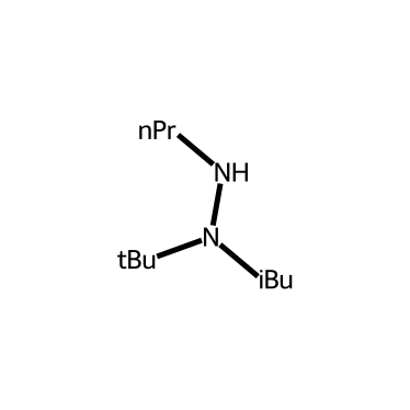 CCCNN(C(C)CC)C(C)(C)C